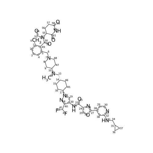 Cc1cccc(CN2CCC(N(C)C[C@H]3CC[C@H](n4cc(NC(=O)c5coc(-c6ccnc(NCC7CC7)c6)n5)c(C(F)F)n4)CC3)CC2)c1C(=O)N(C=O)C1CCC(=O)NC1=O